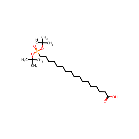 CC(C)(C)OP(=O)(CCCCCCCCCCCCCCCCC(=O)O)OC(C)(C)C